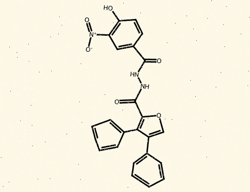 O=C(NNC(=O)c1occ(-c2ccccc2)c1-c1ccccc1)c1ccc(O)c([N+](=O)[O-])c1